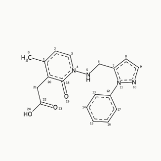 Cc1ccn(NCc2ccnn2-c2ccccc2)c(=O)c1CC(=O)O